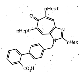 CCCCCCCc1cc2nc(CCCCCC)n(Cc3ccc(-c4ccccc4C(=O)O)cc3)c2cc(CCCCCCC)c1=O